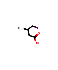 CC(CI)CC(=O)O